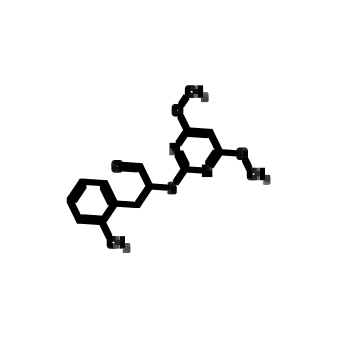 COc1cc(OC)nc(SC(C=O)Cc2ccccc2C)n1